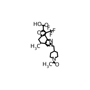 CC(=O)N1CCC(Cn2cc3c(n2)-c2c(oc(C(=O)O)c2C(F)(F)F)CC3C)CC1